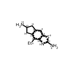 CCc1c2c(cc3sc(N)nc13)CC(N)C2